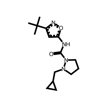 CC(C)(C)c1cc(NC(=O)N2CCCN2CC2CC2)on1